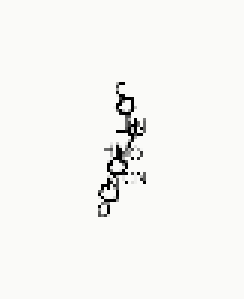 Cc1c(C(=O)Nc2ccc(N3CCC(=O)CC3)c(C#N)c2)cnn1-c1ccc(Cl)cc1